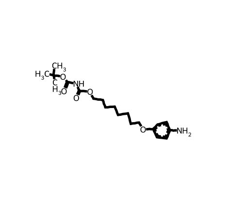 CC(C)(C)OC(=O)NC(=O)OCCCCCCCCOc1ccc(N)cc1